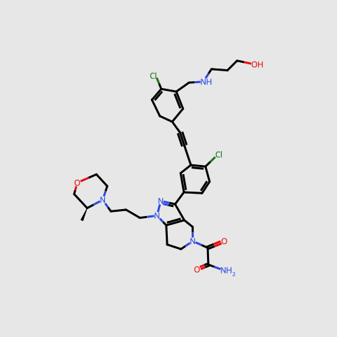 C[C@H]1COCCN1CCCn1nc(-c2ccc(Cl)c(C#CC3C=C(CNCCCO)C(Cl)=CC3)c2)c2c1CCN(C(=O)C(N)=O)C2